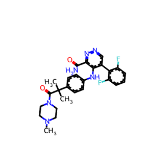 CN1CCN(C(=O)C(C)(C)c2ccc(Nc3c(-c4c(F)cccc4F)cnnc3C(N)=O)cc2)CC1